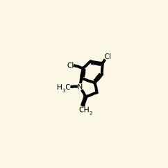 C=C1Cc2cc(Cl)cc(Cl)c2N1C